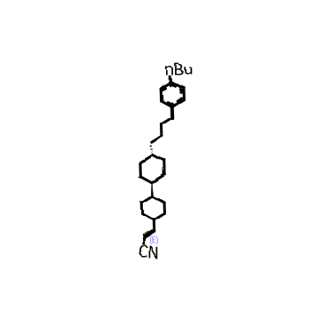 CCCCc1ccc(CCCC[C@H]2CC[C@H](C3CCC(/C=C/C#N)CC3)CC2)cc1